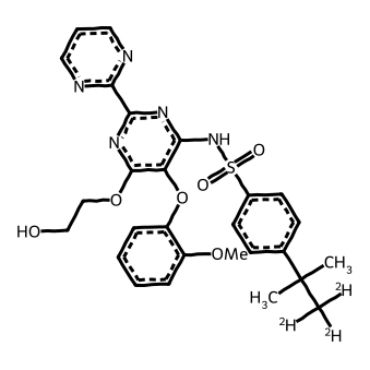 [2H]C([2H])([2H])C(C)(C)c1ccc(S(=O)(=O)Nc2nc(-c3ncccn3)nc(OCCO)c2Oc2ccccc2OC)cc1